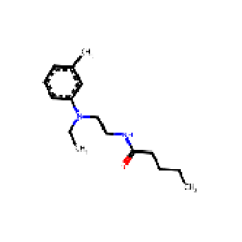 CCCCC(=O)NCCN(CC)c1cccc(C)c1